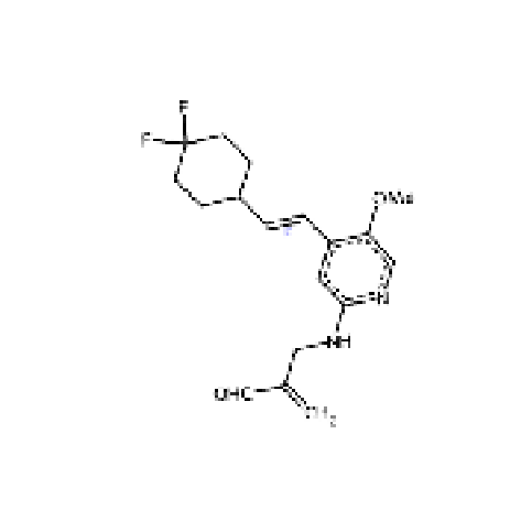 C=C(C=O)CNc1cc(/C=C/C2CCC(F)(F)CC2)c(OC)cn1